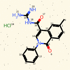 Cc1ccc2c(=O)n(-c3ccccc3)cc(C(=O)NC(=N)N)c2c1.Cl